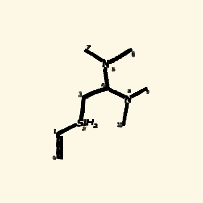 C=C[SiH2]CC(N(C)C)N(C)C